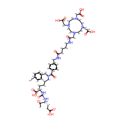 CC(=O)[C@@H](CCC(=O)O)NC(=O)N[C@H](CCCCN(Cc1ccc(I)cc1)C(=O)c1ccc(CNC(=O)CCCCNC(=O)CN2CCN(CC(=O)O)CCN(CC(=O)O)CCN(CC(=O)O)CC2)cc1)C(=O)O